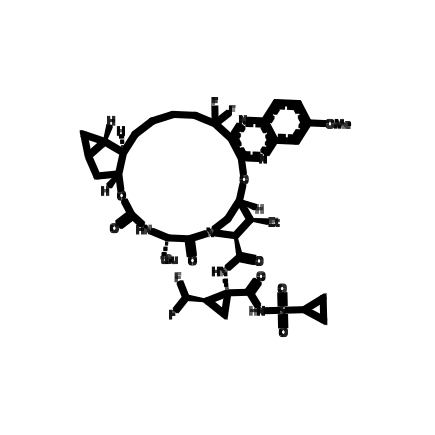 CC[C@@H]1[C@@H]2CN(C(=O)[C@H](C(C)(C)C)NC(=O)O[C@@H]3CC4C[C@@H]4[C@H]3CCCCC(F)(F)c3nc4ccc(OC)cc4nc3O2)[C@@H]1C(=O)N[C@]1(C(=O)NS(=O)(=O)C2CC2)C[C@H]1C(F)F